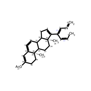 C=N/C=C(\C=C/C)C1=CCC2C3C=C=C4C=C(OC(C)=O)CC[C@]4(C)C3CC[C@]12C